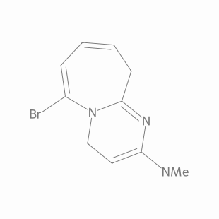 CNC1=CCN2C(Br)=CC=CCC2=N1